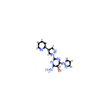 Nc1nc(-n2cc(-c3ccccn3)cn2)nc(-n2cccn2)c1Br